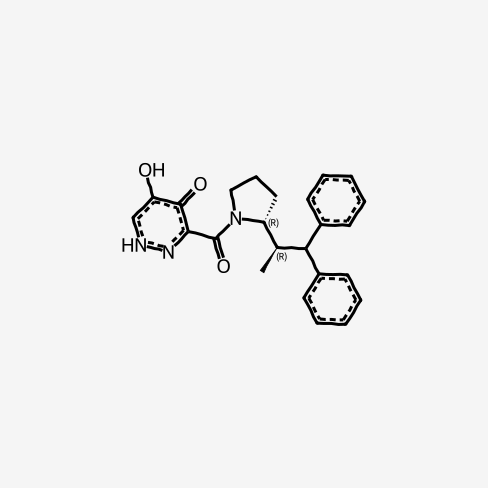 C[C@H](C(c1ccccc1)c1ccccc1)[C@H]1CCCN1C(=O)c1n[nH]cc(O)c1=O